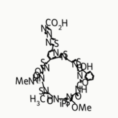 CNC(=O)C[C@@H]1NC(=O)c2csc(n2)-c2ccc(-c3nc(-n4cnc(C(=O)O)c4)cs3)nc2-c2csc(n2)-c2csc(n2)[C@H]([C@@H](O)c2ccccc2)NC(=O)CNC(=O)c2nc(sc2COC)[C@@H](C(C)C)NC(=O)c2nc1sc2C